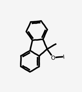 CC1(OI)c2ccccc2-c2ccccc21